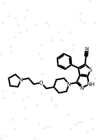 N#Cc1sc2[nH]nc(N3CCC(COCCN4CCCC4)CC3)c2c1-c1ccccc1